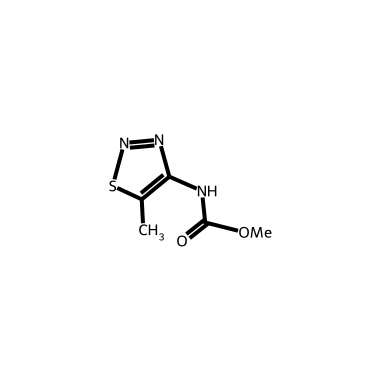 COC(=O)Nc1nnsc1C